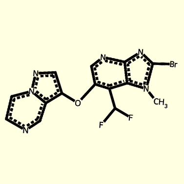 Cn1c(Br)nc2ncc(Oc3cnn4ccncc34)c(C(F)F)c21